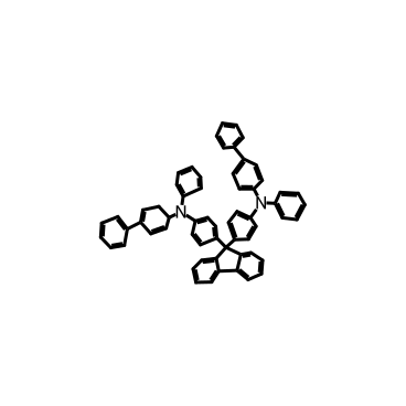 C1=CC(N(c2ccccc2)c2ccc(C3(c4ccc(N(c5ccccc5)c5ccc(-c6ccccc6)cc5)cc4)c4ccccc4-c4ccccc43)cc2)CC=C1c1ccccc1